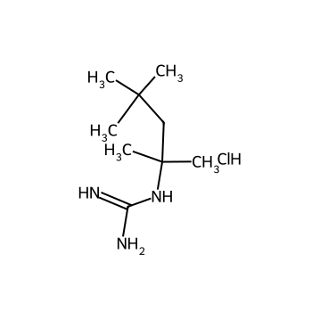 CC(C)(C)CC(C)(C)NC(=N)N.Cl